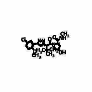 CNC(=O)[C@H]1CC(O)CN1C(=O)C(n1cc(-c2cc(Cl)ccc2OC)nn1)C(C)(C)C